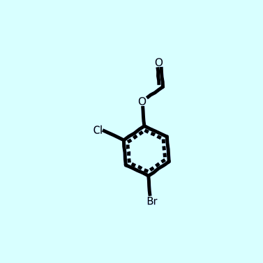 O=COc1ccc(Br)cc1Cl